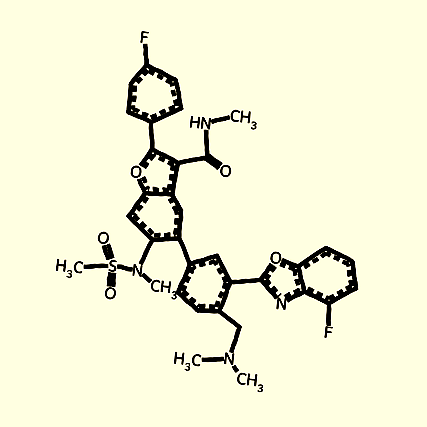 CNC(=O)c1c(-c2ccc(F)cc2)oc2cc(N(C)S(C)(=O)=O)c(-c3ccc(CN(C)C)c(-c4nc5c(F)cccc5o4)c3)cc12